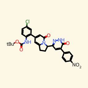 CC(C)(C)OC(=O)Nc1ccc(Cl)cc1-c1cc2n(c(=O)c1)C(c1cc(-c3ccc([N+](=O)[O-])cc3)c(=O)[nH]n1)CC2